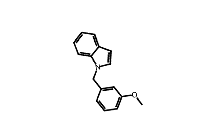 COc1cccc(Cn2ccc3ccccc32)c1